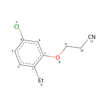 CCc1ccc(Cl)cc1OCCC#N